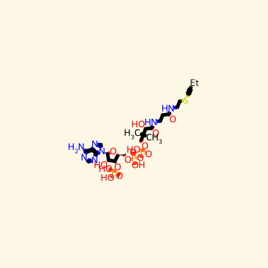 CCC#CSCCNC(=O)CCNC(=O)[C@H](O)C(C)(C)COP(=O)(O)OP(=O)(O)OC[C@H]1O[C@@H](n2cnc3c(N)ncnc32)[C@H](O)[C@@H]1OP(=O)(O)O